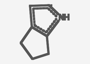 [c]1cc2c([nH]1)CCC2